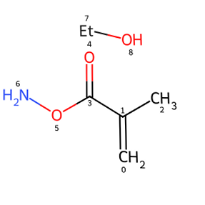 C=C(C)C(=O)ON.CCO